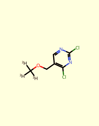 [2H]C([2H])([2H])OCc1cnc(Cl)nc1Cl